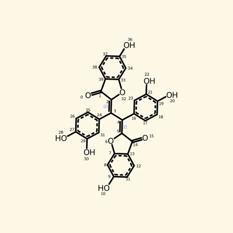 O=C1/C(=C(/C(=C2\Oc3cc(O)ccc3C2=O)c2ccc(O)c(O)c2)c2ccc(O)c(O)c2)Oc2cc(O)ccc21